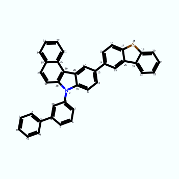 c1ccc(-c2cccc(-n3c4ccc(-c5ccc6sc7ccccc7c6c5)cc4c4c5ccccc5ccc43)c2)cc1